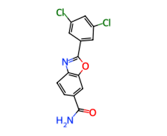 NC(=O)c1ccc2nc(-c3cc(Cl)cc(Cl)c3)oc2c1